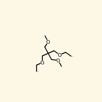 [CH2]COCC(COC)(COC)COC[CH2]